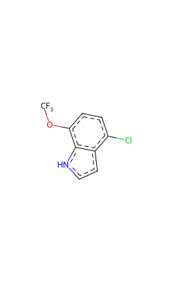 FC(F)(F)Oc1ccc(Cl)c2cc[nH]c12